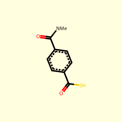 CNC(=O)c1ccc(C(=O)S)cc1